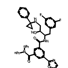 CCCN(CCC)C(=O)c1cc(C(=O)NC(Cc2cc(F)cc(F)c2)C(O)CNC2(c3ccccc3)CC2)cc(-c2ncco2)c1